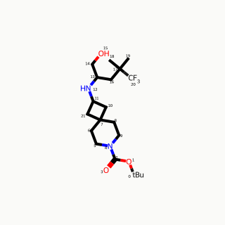 CC(C)(C)OC(=O)N1CCC2(CC1)CC(NC(CO)CC(C)(C)C(F)(F)F)C2